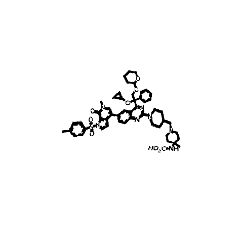 Cc1ccc(S(=O)(=O)n2ccc3c(-c4ccc5nc(N6CCC(CN7CCC(C)(NC(=O)O)CC7)CC6)nc(C(COC6CCCCO6)(OC6CC6)c6ccccc6)c5c4)cn(C)c(=O)c32)cc1